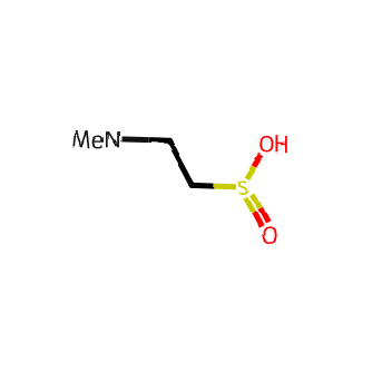 CNCCS(=O)O